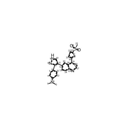 CN(C)c1ccc(-c2n[nH]cc2-c2ccc3ncnc(-c4ccc(S(C)(=O)=O)s4)c3c2)cc1